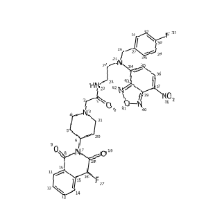 O=C(CN1CCC(N2C(=O)c3ccccc3C(F)C2=O)CC1)NCCN(Cc1ccc(F)cc1)c1ccc([N+](=O)[O-])c2nonc12